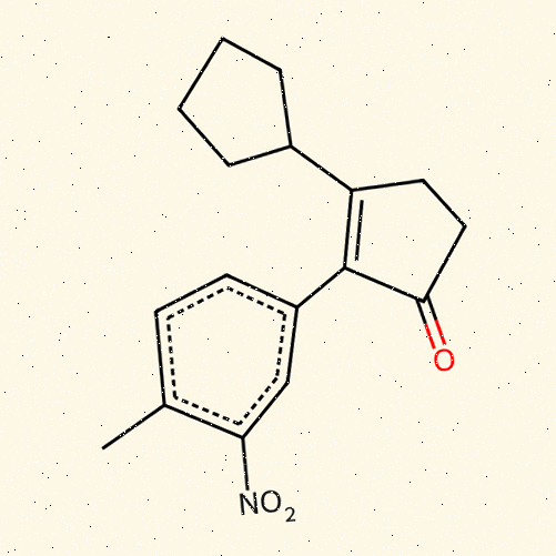 Cc1ccc(C2=C(C3CCCC3)CCC2=O)cc1[N+](=O)[O-]